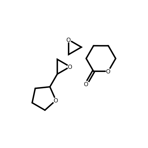 C1CO1.C1COC(C2CO2)C1.O=C1CCCCO1